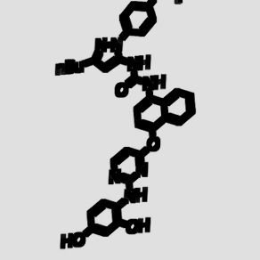 CCCCc1cc(NC(=O)Nc2ccc(Oc3ccnc(Nc4ccc(O)cc4O)n3)c3ccccc23)n(-c2ccc(C)cc2)n1